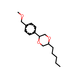 CCCCCC1COC(c2ccc(COC)cc2)CO1